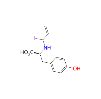 C=CC(I)N[C@@H](Cc1ccc(O)cc1)C(=O)O